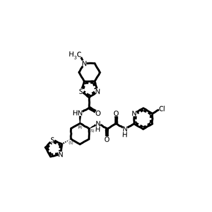 CN1CCc2nc(C(=O)N[C@@H]3C[C@@H](c4nccs4)CC[C@@H]3NC(=O)C(=O)Nc3ccc(Cl)cn3)sc2C1